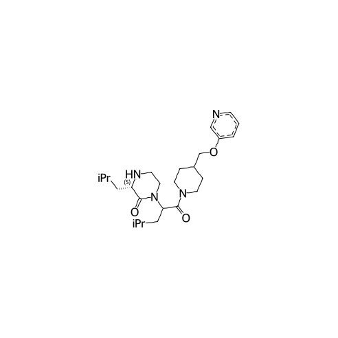 CC(C)CC(C(=O)N1CCC(COc2cccnc2)CC1)N1CCN[C@@H](CC(C)C)C1=O